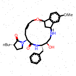 CCCC[C@H]1CCN([C@H]2CC=CCO[C@@H]3C[C@H](NC[C@@H](O)[C@H](Cc4ccccc4)NC2=O)c2cc(OC)ccc23)C1=O